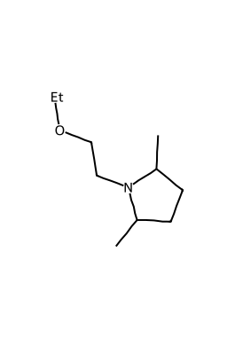 CCOCCN1C(C)CCC1C